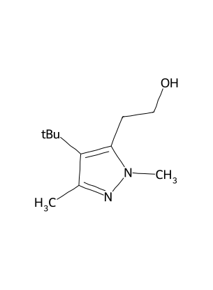 Cc1nn(C)c(CCO)c1C(C)(C)C